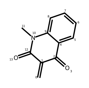 C=C1C(=O)c2ccccc2N(C)C1=O